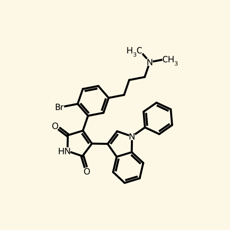 CN(C)CCCc1ccc(Br)c(C2=C(c3cn(-c4ccccc4)c4ccccc34)C(=O)NC2=O)c1